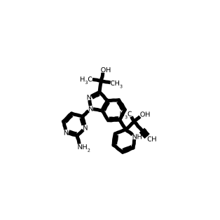 C#CC(C)(O)C1(c2ccc3c(C(C)(C)O)nn(-c4ccnc(N)n4)c3c2)C=CC=CN1